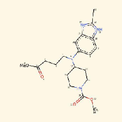 COC(=O)CCCN(c1ccc2[nH]c(C)nc2c1)C1CCN(C(=O)OC(C)(C)C)CC1